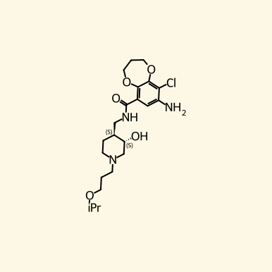 CC(C)OCCCN1CC[C@@H](CNC(=O)c2cc(N)c(Cl)c3c2OCCCO3)[C@H](O)C1